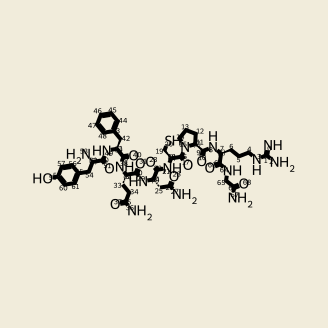 N=C(N)NCCC[C@H](NC(=O)[C@@H]1CCCN1C(=O)[C@H](CS)NC(=O)[C@H](CC(N)=O)NC(=O)[C@H](CCC(N)=O)NC(=O)[C@H](Cc1ccccc1)NC(=O)[C@@H](N)Cc1ccc(O)cc1)C(=O)NCC(N)=O